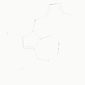 Cc1cc2n(c1C(=O)c1ccc(Cl)s1)CCCCC2C(=O)O